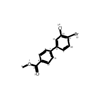 COC(=O)c1ccc(-c2ccc(Br)c(Cl)c2)cc1